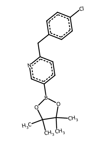 CC1(C)OB(c2ccc(Cc3ccc(Cl)cc3)nc2)OC1(C)C